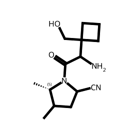 CC1CC(C#N)N(C(=O)C(N)C2(CO)CCC2)[C@H]1C